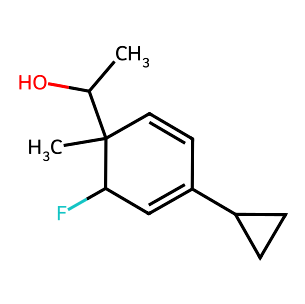 CC(O)C1(C)C=CC(C2CC2)=CC1F